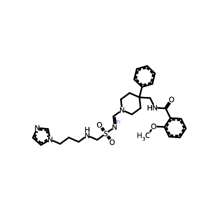 COc1ccccc1C(=O)NCC1(c2ccccc2)CCN(/C=N/S(=O)(=O)CNCCCn2ccnc2)CC1